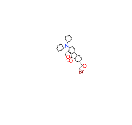 CCc1c(N(c2ccccc2)c2ccccc2)ccc2c1C(OC)(OC)c1cc(C(=O)CBr)ccc1-2